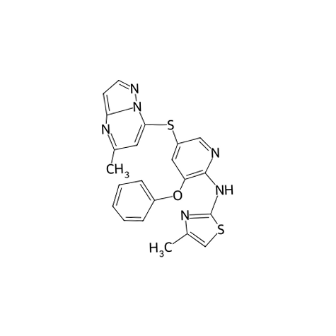 Cc1csc(Nc2ncc(Sc3cc(C)nc4ccnn34)cc2Oc2ccccc2)n1